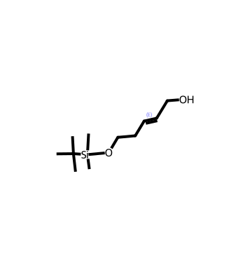 CC(C)(C)[Si](C)(C)OCC/C=C/CO